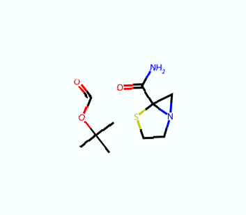 CC(C)(C)OC=O.NC(=O)C12CN1CCS2